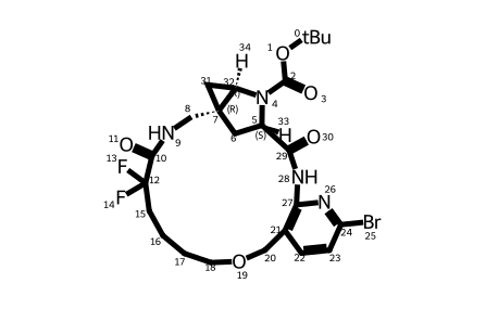 CC(C)(C)OC(=O)N1[C@H]2C[C@@]3(CNC(=O)C(F)(F)CCCCOCc4ccc(Br)nc4NC2=O)C[C@@H]13